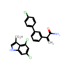 C=C(C(N)=O)c1cccc(-c2ccc(Cl)cc2)c1.O=C(O)c1c[nH]c2cc(Cl)cc(Cl)c12